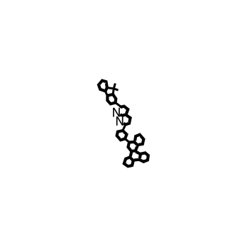 CC1(C)c2ccccc2-c2ccc(-c3ccc4ccc(-c5cccc(-c6cc7c8ccccc8c8ccccc8c7c7ccccc67)c5)nc4n3)cc21